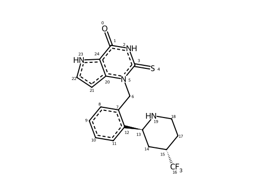 O=c1[nH]c(=S)n(Cc2ccccc2[C@@H]2C[C@@H](C(F)(F)F)CCN2)c2cc[nH]c12